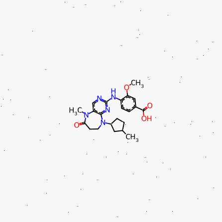 COc1cc(C(=O)O)ccc1Nc1ncc2c(n1)N(C1CCC(C)C1)CCC(=O)N2C